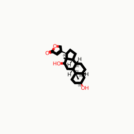 C[C@]12CC[C@H](O)C[C@H]1CC[C@@H]1[C@@H]2CC(O)[C@]2(C)[C@@H](C3=CC(=O)OC3)CC[C@@H]12